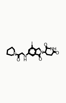 O=C1CCC(N2Cc3c(I)cc(NCC(=O)N4CCCCC4)cc3C2=O)C(=O)N1